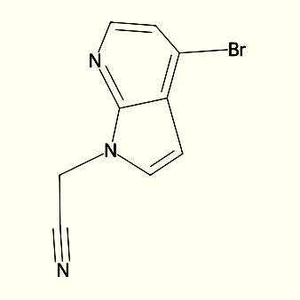 N#CCn1ccc2c(Br)ccnc21